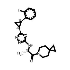 C[C@H](Nc1nnc([C@H]2C[C@H]2c2ccccc2F)o1)C(=O)N1CCC2(CC1)CC2